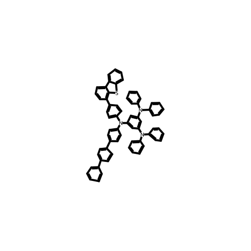 c1ccc(-c2ccc(-c3ccc(N(c4ccc(-c5cccc6c5sc5ccccc56)cc4)c4cc(N(c5ccccc5)c5ccccc5)cc(N(c5ccccc5)c5ccccc5)c4)cc3)cc2)cc1